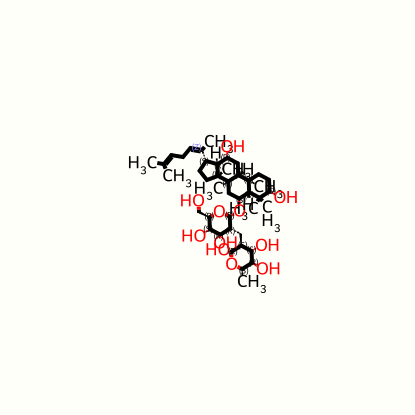 CC(C)=CC/C=C(/C)[C@H]1CC[C@]2(C)[C@@H]1[C@H](O)C[C@@H]1[C@@]3(C)CC[C@H](O)C(C)(C)[C@@H]3[C@@H](O[C@@H]3O[C@H](CO)[C@@H](O)[C@H](O)[C@H]3C[C@H]3[C@H](O)[C@@H](O)[C@H](C)O[C@H]3O)C[C@]12C